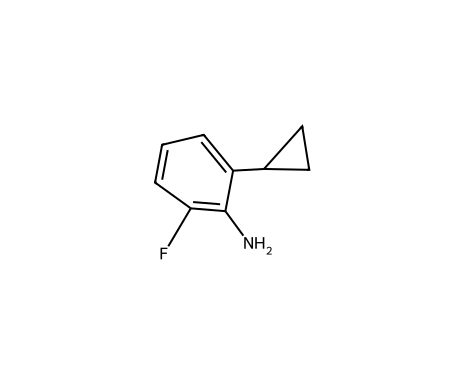 Nc1c(F)cccc1C1CC1